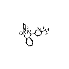 N[N+]1([O-])Cc2ccccc2C(c2ccc(C(F)(F)F)nc2)=N1